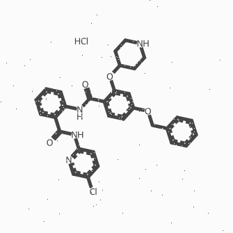 Cl.O=C(Nc1ccc(Cl)cn1)c1ccccc1NC(=O)c1ccc(OCc2ccccc2)cc1OC1CCNCC1